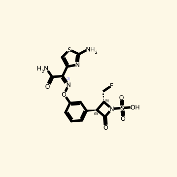 NC(=O)/C(=N\Oc1cccc([C@@H]2C(=O)N(S(=O)(=O)O)[C@H]2CF)c1)c1csc(N)n1